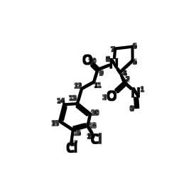 C=NC(=O)[C@@H]1CCCN1C(=O)CCc1ccc(Cl)c(Cl)c1